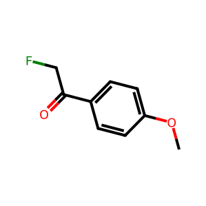 COc1ccc(C(=O)CF)cc1